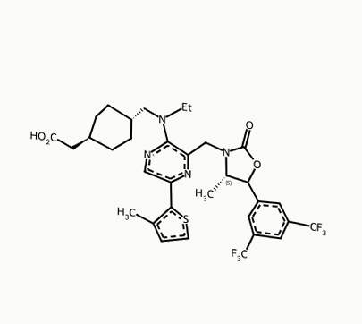 CCN(C[C@H]1CC[C@H](CC(=O)O)CC1)c1ncc(-c2sccc2C)nc1CN1C(=O)OC(c2cc(C(F)(F)F)cc(C(F)(F)F)c2)[C@@H]1C